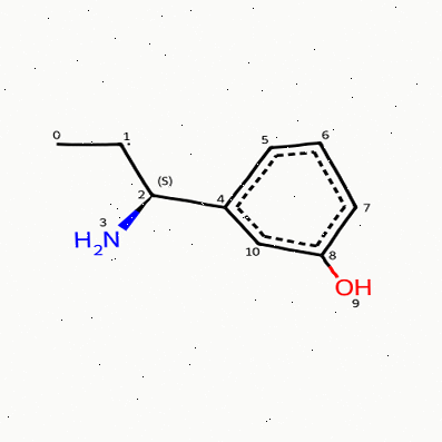 C[CH][C@H](N)c1cccc(O)c1